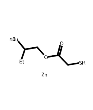 CCCCC(CC)COC(=O)CS.[Zn]